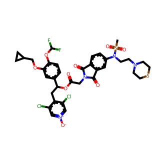 CS(=O)(=O)N(CCN1CCSCC1)c1ccc2c(c1)C(=O)N(CC(=O)OC(Cc1c(Cl)c[n+]([O-])cc1Cl)c1ccc(OC(F)F)c(OCC3CC3)c1)C2=O